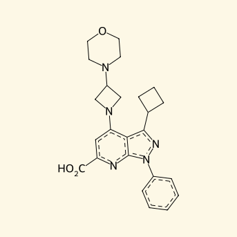 O=C(O)c1cc(N2CC(N3CCOCC3)C2)c2c(C3CCC3)nn(-c3ccccc3)c2n1